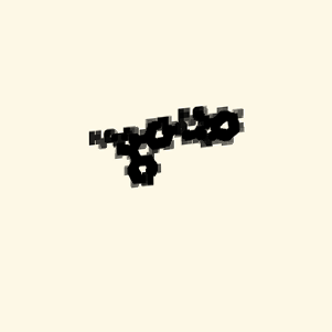 Cn1cc(-c2ccncc2)c(-c2ccc(OCc3nc4ccccc4n3C)nc2)n1